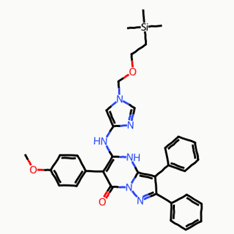 COc1ccc(-c2c(Nc3cn(COCC[Si](C)(C)C)cn3)[nH]c3c(-c4ccccc4)c(-c4ccccc4)nn3c2=O)cc1